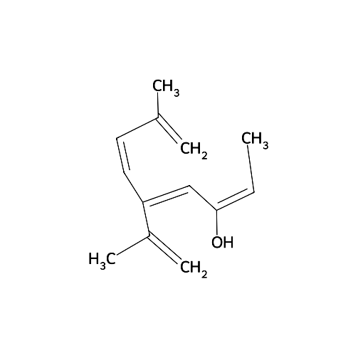 C=C(C)\C=C/C(=C/C(O)=C\C)C(=C)C